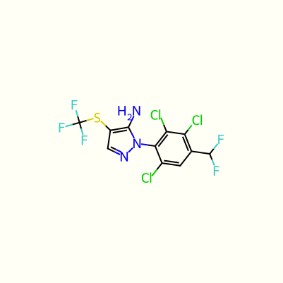 Nc1c(SC(F)(F)F)cnn1-c1c(Cl)cc(C(F)F)c(Cl)c1Cl